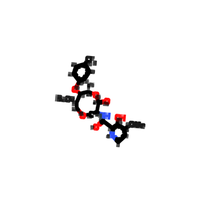 COc1ccnc(C(=O)N[C@H]2COC[C@H](OCC(C)C)[C@@H](Oc3ccc(C(F)(F)F)cc3)[C@H](C)OC2=O)c1O